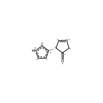 O=C1CN=C[C@H]1c1cc[nH]n1